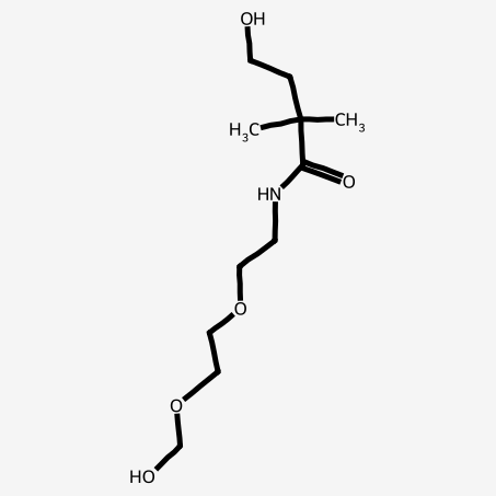 CC(C)(CCO)C(=O)NCCOCCOCO